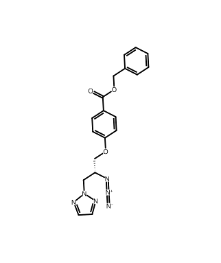 [N-]=[N+]=N[C@@H](COc1ccc(C(=O)OCc2ccccc2)cc1)Cn1nccn1